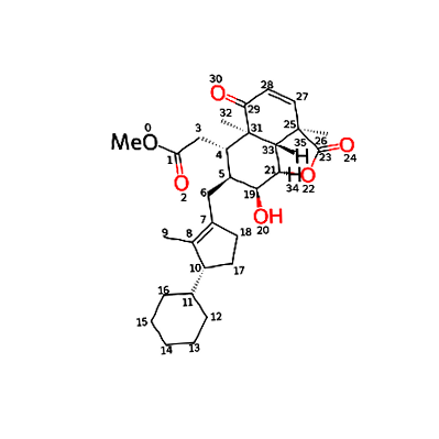 COC(=O)C[C@H]1[C@H](CC2=C(C)[C@@H](C3CCCCC3)CC2)[C@H](O)[C@@H]2OC(=O)[C@]3(C)C=CC(=O)[C@@]1(C)[C@@H]23